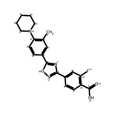 Cc1cc(-c2nc(-c3ccc(C(=O)O)c(F)c3)no2)ccc1N1CCCCC1